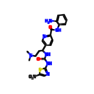 CN(C)CCC(NC(=O)Nc1ncc([N+](=O)[O-])s1)c1ccc(C(=O)Nc2ccccc2N)nc1